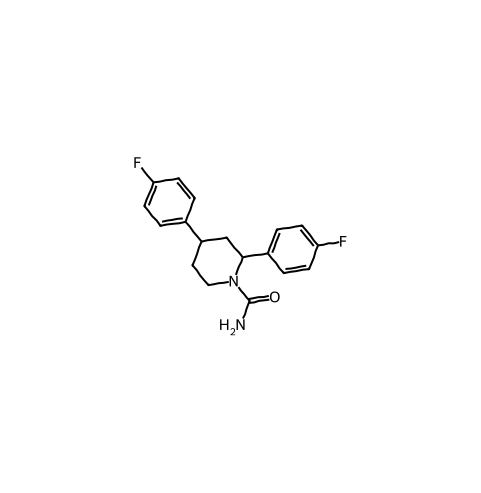 NC(=O)N1CCC(c2ccc(F)cc2)CC1c1ccc(F)cc1